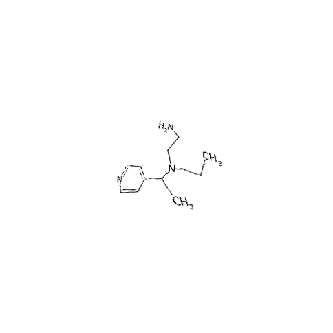 CCN(CCN)C(C)c1ccncc1